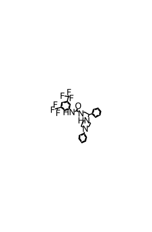 O=C(NCC(c1ccccc1)N1CCN(c2ccccc2)CC1)Nc1cc(C(F)(F)F)cc(C(F)(F)F)c1